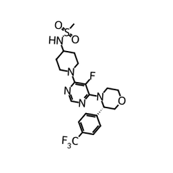 CS(=O)(=O)NC1CCN(c2ncnc(N3CCOC[C@@H]3c3ccc(C(F)(F)F)cc3)c2F)CC1